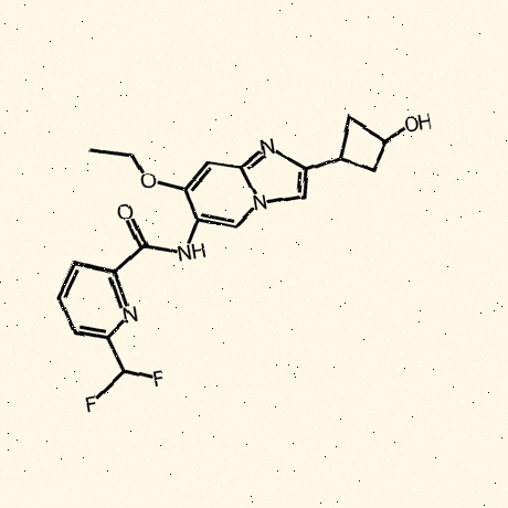 CCOc1cc2nc(C3CC(O)C3)cn2cc1NC(=O)c1cccc(C(F)F)n1